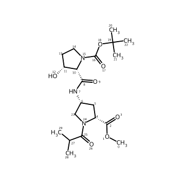 COC(=O)[C@H]1C[C@@H](NC(=O)[C@@H]2[C@H](O)CCN2C(=O)OC(C)(C)C)CN1C(=O)C(C)C